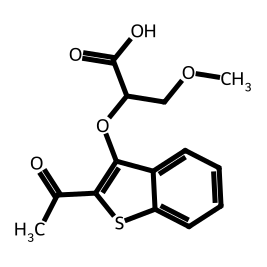 COCC(Oc1c(C(C)=O)sc2ccccc12)C(=O)O